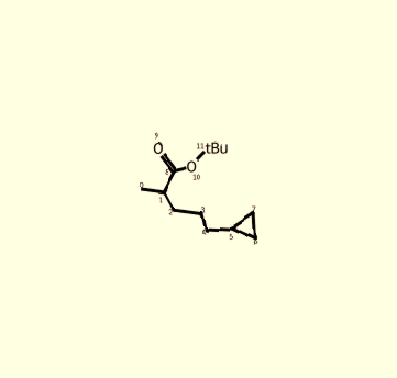 CC(CCCC1CC1)C(=O)OC(C)(C)C